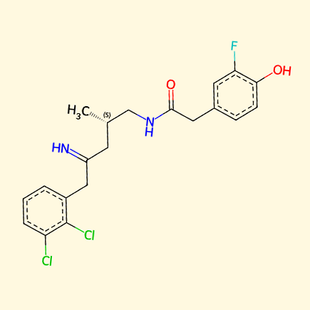 C[C@H](CNC(=O)Cc1ccc(O)c(F)c1)CC(=N)Cc1cccc(Cl)c1Cl